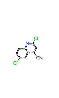 N#Cc1cc(Cl)nc2ccc(Cl)cc12